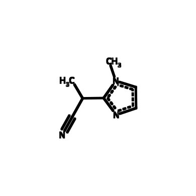 CC(C#N)c1nccn1C